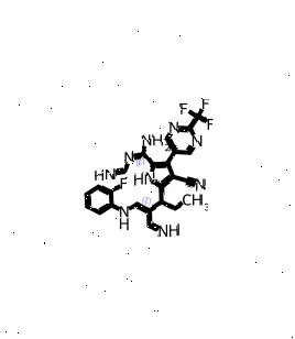 CCC(/C(C=N)=C/Nc1ccccc1F)c1[nH]c(/C(N)=N\C=N)c(-c2cnc(C(F)(F)F)nc2)c1C#N